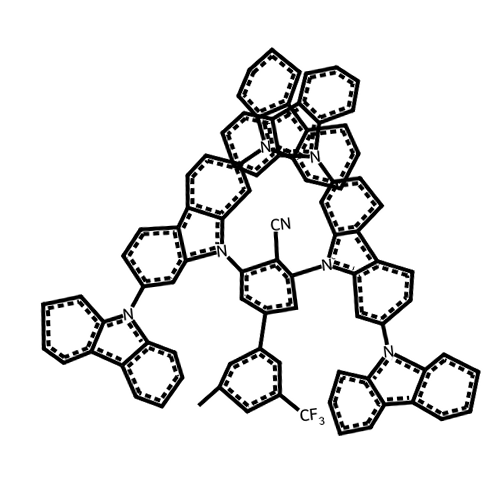 Cc1cc(-c2cc(-n3c4cc(-n5c6ccccc6c6ccccc65)ccc4c4ccc(-n5c6ccccc6c6ccccc65)cc43)c(C#N)c(-n3c4cc(-n5c6ccccc6c6ccccc65)ccc4c4ccc(-n5c6ccccc6c6ccccc65)cc43)c2)cc(C(F)(F)F)c1